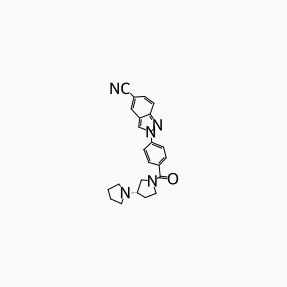 N#Cc1ccc2nn(-c3ccc(C(=O)N4CC[C@H](N5CCCC5)C4)cc3)cc2c1